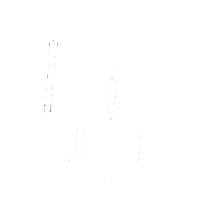 CC1C=CC=C(N=C=O)C1=S